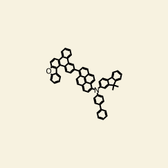 CC1(C)c2ccccc2-c2ccc(N(c3ccc(-c4ccccc4)cc3)c3ccc4ccc5c(-c6ccc7c(c6)c6ccccc6c6ccc8oc9ccccc9c8c67)ccc6ccc3c4c65)cc21